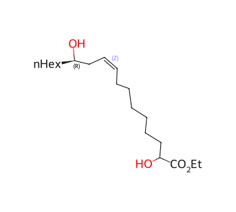 CCCCCC[C@@H](O)C/C=C\CCCCCCC(O)C(=O)OCC